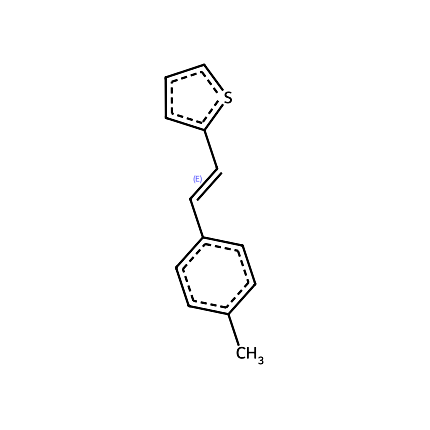 Cc1ccc(/C=C/c2cccs2)cc1